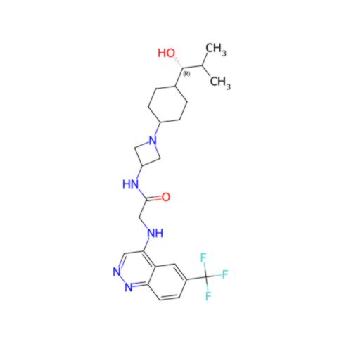 CC(C)[C@@H](O)C1CCC(N2CC(NC(=O)CNc3cnnc4ccc(C(F)(F)F)cc34)C2)CC1